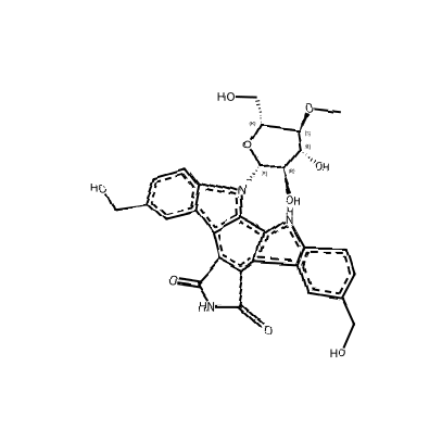 CO[C@H]1[C@H](O)[C@@H](O)[C@H](n2c3ccc(CO)cc3c3c4c(c5c6cc(CO)ccc6[nH]c5c32)C(=O)NC4=O)O[C@@H]1CO